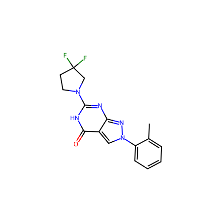 Cc1ccccc1-n1cc2c(=O)[nH]c(N3CCC(F)(F)C3)nc2n1